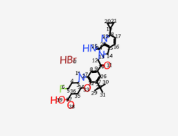 Br.CN(CCCF)c1cc(C(=O)CN2Cc3ccc(C4CC4)nc3C2=N)cc(C(C)(C)C)c1OCCCC(=O)O